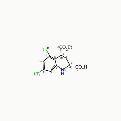 CCOC(=O)[C@@H]1C[C@H](C(=O)O)Nc2cc(Cl)cc(Cl)c21